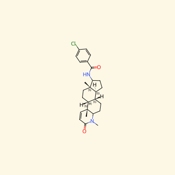 CN1C(=O)C=C[C@@]2(C)C1CC[C@@H]1[C@H]2CC[C@]2(C)C(NC(=O)c3ccc(Cl)cc3)CC[C@@H]12